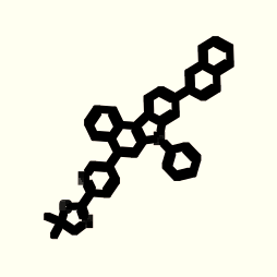 CC1(C)CN=C(c2ccc(-c3cc4c(c5ccccc35)c3ccc(-c5ccc6ccccc6c5)cc3n4-c3ccccc3)cn2)O1